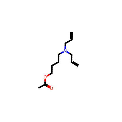 C=CCN(CC=C)CCCCOC(C)=O